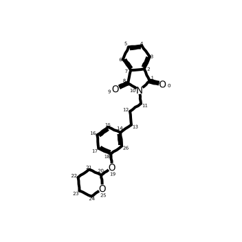 O=C1c2ccccc2C(=O)N1CCCc1cccc(OC2CCCCO2)c1